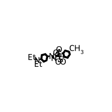 CCN(CC)c1ccc(NN=C2S(=O)(=O)c3ccc(C)cc3S2(=O)=O)cc1